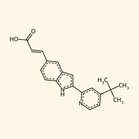 CC(C)(C)c1ccnc(-c2cc3cc(/C=C/C(=O)O)ccc3[nH]2)c1